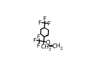 C=COC(C)(C1CCC(C(F)(F)F)CC1)C(F)(F)F